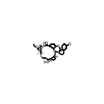 CCOC[C@@H]1[C@@H](C)C/C=C/[C@H](O)[C@@H]2CC[C@H]2CN2C[C@@]3(CCCc4cc(Cl)ccc43)COc3ccc(cc32)C(=O)NS1(=O)=O